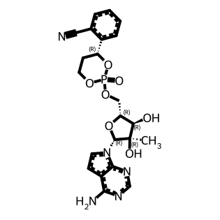 C[C@@]1(O)[C@H](O)[C@@H](COP2(=O)OCC[C@H](c3ccccc3C#N)O2)O[C@H]1n1ccc2c(N)ncnc21